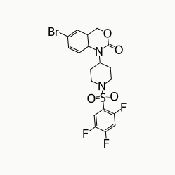 O=C1OCC2C=C(Br)C=CC2N1C1CCN(S(=O)(=O)c2cc(F)c(F)cc2F)CC1